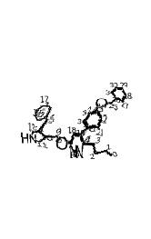 CCCCc1nnc(OCC2CNCC2COC)cc1-c1ccc(OCc2ccccc2)cc1